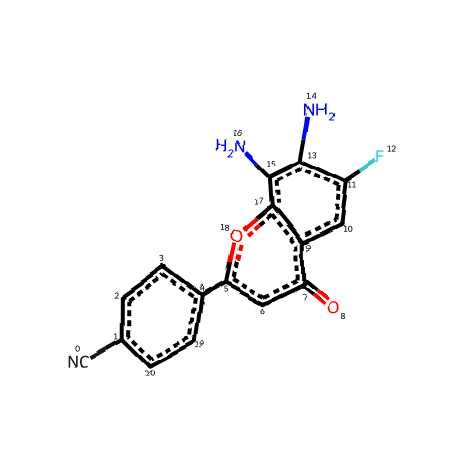 N#Cc1ccc(-c2cc(=O)c3cc(F)c(N)c(N)c3o2)cc1